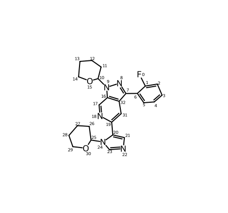 Fc1ccccc1-c1nn(C2CCCCO2)c2cnc(-c3cncn3C3CCCCO3)cc12